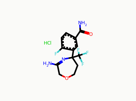 Cl.NC(=O)c1ccc(F)c(C2(C(F)(F)F)CCOCC(N)=N2)c1